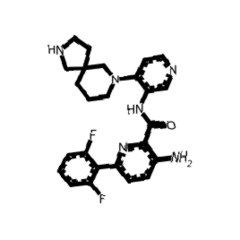 Nc1ccc(-c2c(F)cccc2F)nc1C(=O)Nc1cnccc1N1CCCC2(CCNC2)C1